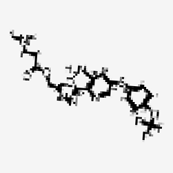 CN(C)CCC(=O)OCc1nnc(-c2ncc(Sc3ccc(OC(F)(F)F)cc3)cc2N)o1